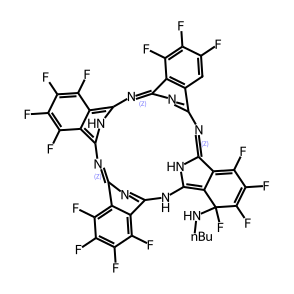 CCCCNC1(F)C(F)=C(F)C(F)=c2c1c1[nH]/c2=N\C2=NC(=N\c3[nH]c(c4c(F)c(F)c(F)c(F)c34)/N=C3\N=C(N1)c1c(F)c(F)c(F)c(F)c13)/c1c2cc(F)c(F)c1F